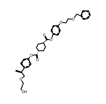 C=C(COCCO)c1ccc(OC(=O)[C@H]2CC[C@H](C(=O)Oc3ccc(OCCOCc4ccccc4)cc3)CC2)cc1